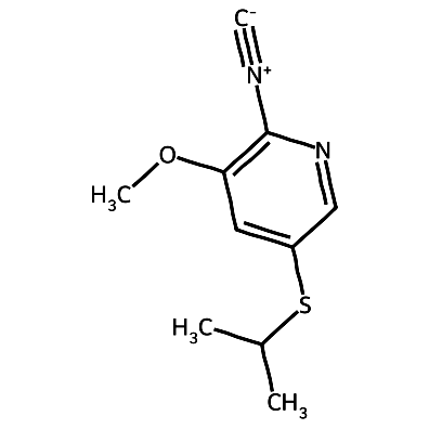 [C-]#[N+]c1ncc(SC(C)C)cc1OC